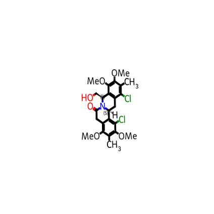 COc1c(C)c(OC)c2c(c1Cl)[C@@H]1Cc3c(Cl)c(C)c(OC)c(OC)c3[C@H](CO)N1C(=O)C2